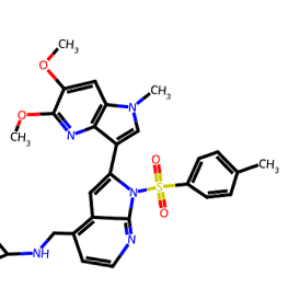 COc1cc2c(nc1OC)c(-c1cc3c(CNC4CC4)ccnc3n1S(=O)(=O)c1ccc(C)cc1)cn2C